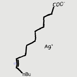 CCCC/C=C\CCCCCCCC(=O)[O-].[Ag+]